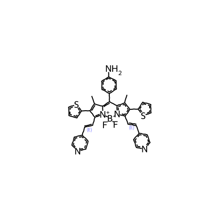 CC1=C(c2cccs2)C(/C=C/c2ccncc2)=[N+]2C1=C(c1ccc(N)cc1)c1c(C)c(-c3cccs3)c(/C=C/c3ccncc3)n1[B-]2(F)F